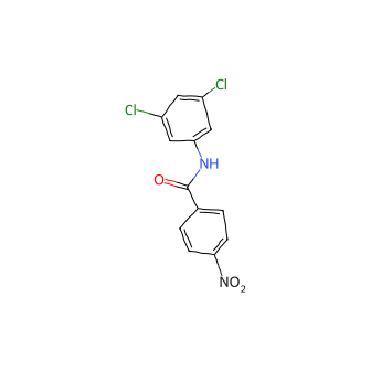 O=C(Nc1cc(Cl)cc(Cl)c1)c1ccc([N+](=O)[O-])cc1